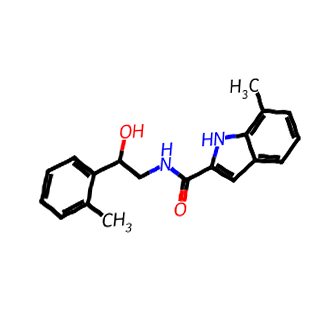 Cc1ccccc1C(O)CNC(=O)c1cc2cccc(C)c2[nH]1